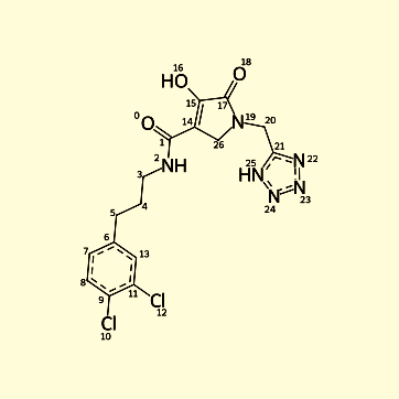 O=C(NCCCc1ccc(Cl)c(Cl)c1)C1=C(O)C(=O)N(Cc2nnn[nH]2)C1